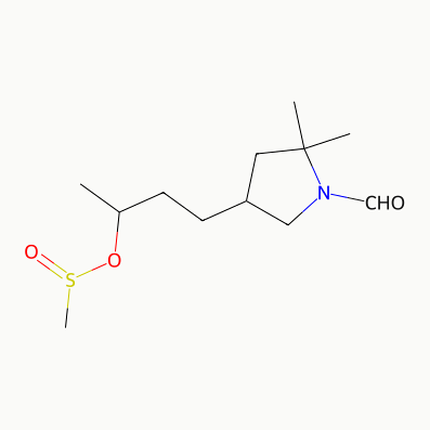 CC(CCC1CN(C=O)C(C)(C)C1)OS(C)=O